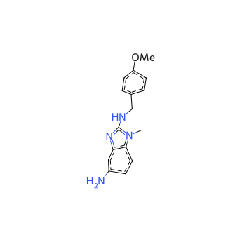 COc1ccc(CNc2nc3cc(N)ccc3n2C)cc1